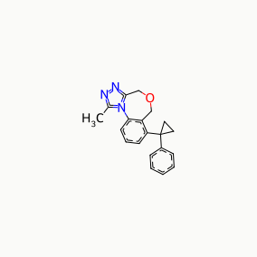 Cc1nnc2n1-c1cccc(C3(c4ccccc4)CC3)c1COC2